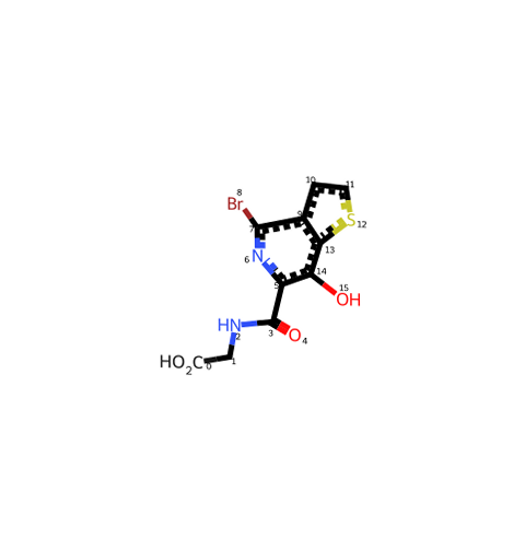 O=C(O)CNC(=O)c1nc(Br)c2ccsc2c1O